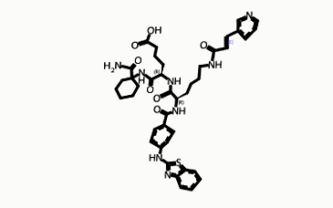 NC(=O)C1(NC(=O)[C@@H](CCCC(=O)O)NC(=O)[C@@H](CCCCNC(=O)/C=C/c2cccnc2)NC(=O)c2ccc(Nc3nc4ccccc4s3)cc2)CCCCC1